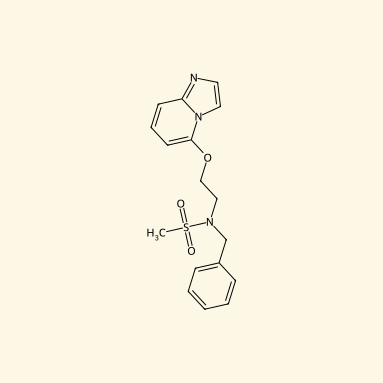 CS(=O)(=O)N(CCOc1cccc2nccn12)Cc1ccccc1